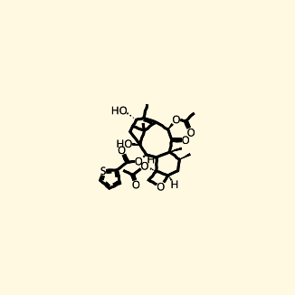 CC(=O)O[C@H]1C(=O)[C@@]2(C)[C@H]([C@H](OC(=O)c3cccs3)[C@]3(O)C[C@H](O)C(C)=C1C3(C)C)[C@]1(OC(C)=O)CO[C@@H]1C[C@@H]2C